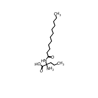 CCCCCCCCCCCC(=O)NC(N)(CCC)C(=O)O